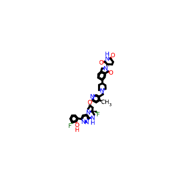 Cc1cc(O[C@H]2CN3c4cc(-c5cccc(F)c5O)nnc4NC[C@@]3(CF)C2)ncc1CN1CCC(c2ccc3c(c2)C(=O)N([C@H]2CCC(=O)NC2=O)C3)CC1